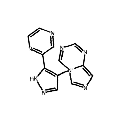 C1=NC=NC2=CN=C[N+]12c1cn[nH]c1-c1cnccn1